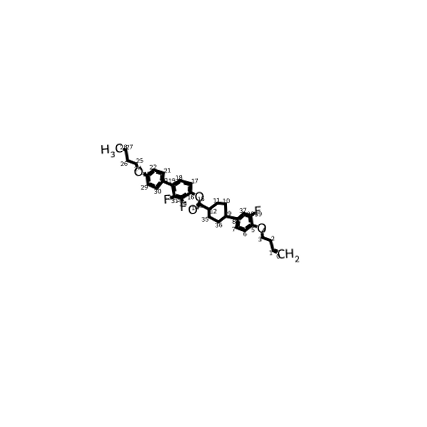 C=CCCOc1ccc(C2CCC(C(=O)Oc3ccc(-c4ccc(OCCCC)cc4)c(F)c3F)CC2)cc1F